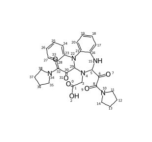 O=C(O)CN1C(C(=O)C(=O)N2CCCC2)Nc2ccccc2N(c2ccccc2)C1C(=O)C(=O)N1CCCC1